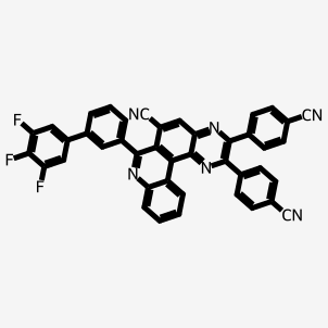 N#Cc1ccc(-c2nc3cc(C#N)c4c(-c5cccc(-c6cc(F)c(F)c(F)c6)c5)nc5ccccc5c4c3nc2-c2ccc(C#N)cc2)cc1